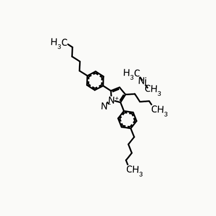 CCCCCc1ccc(C2=CC(CCCC)=C(c3ccc(CCCCC)cc3)[N+]2=[N-])cc1.[CH3][Ni][CH3]